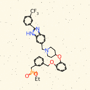 CCO[PH](=O)Cc1cccc(COc2ccccc2OC2CCN(Cc3ccc4nc(-c5cccc(C(F)(F)F)c5)[nH]c4c3)CC2)c1